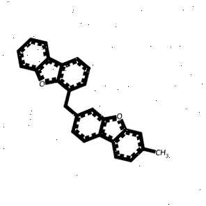 Cc1ccc2c(c1)oc1cc(Cc3cccc4c3oc3ccccc34)ccc12